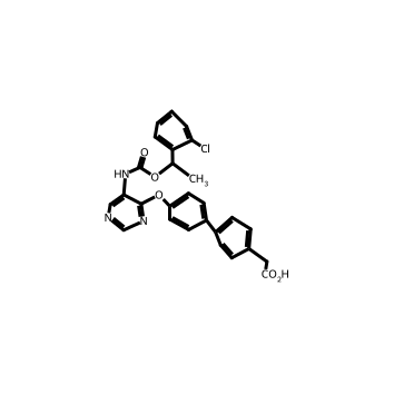 CC(OC(=O)Nc1cncnc1Oc1ccc(-c2ccc(CC(=O)O)cc2)cc1)c1ccccc1Cl